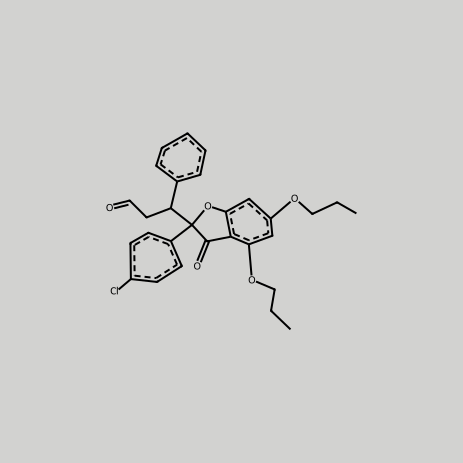 CCCOc1cc(OCCC)c2c(c1)OC(c1ccc(Cl)cc1)(C(CC=O)c1ccccc1)C2=O